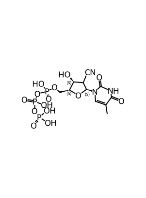 Cc1cn([C@H]2O[C@@H](COP(=O)(O)OP(=O)(O)OP(=O)(O)O)[C@@H](O)C2C#N)c(=O)[nH]c1=O